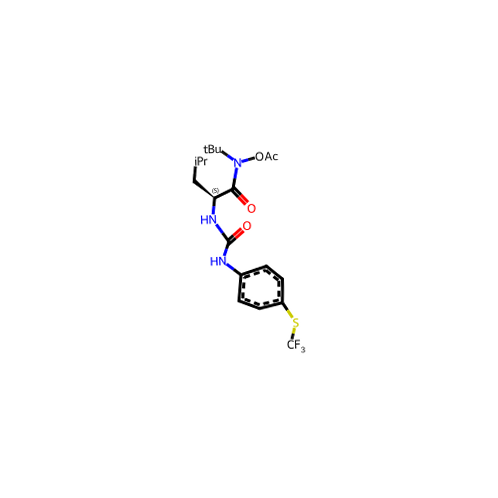 CC(=O)ON(C(=O)[C@H](CC(C)C)NC(=O)Nc1ccc(SC(F)(F)F)cc1)C(C)(C)C